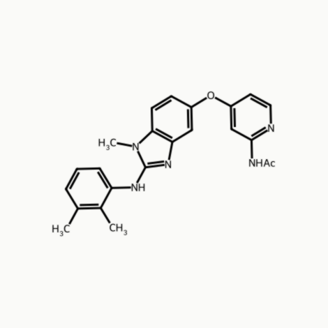 CC(=O)Nc1cc(Oc2ccc3c(c2)nc(Nc2cccc(C)c2C)n3C)ccn1